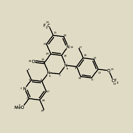 COc1nc(C)c(N2CN(c3ccc(OC(F)(F)F)cc3C)c3ncc(C(F)(F)F)cc3C2=O)cc1C